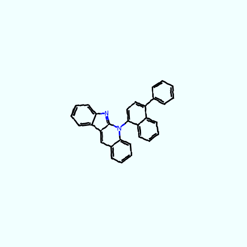 c1ccc(-c2ccc(-n3c4nc5ccccc5c-4cc4ccccc43)c3ccccc23)cc1